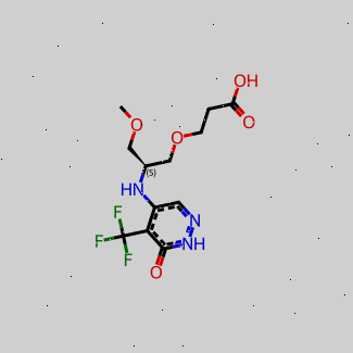 COC[C@@H](COCCC(=O)O)Nc1cn[nH]c(=O)c1C(F)(F)F